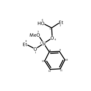 CCO[Si](OC)(OC(O)CC)c1ccccc1